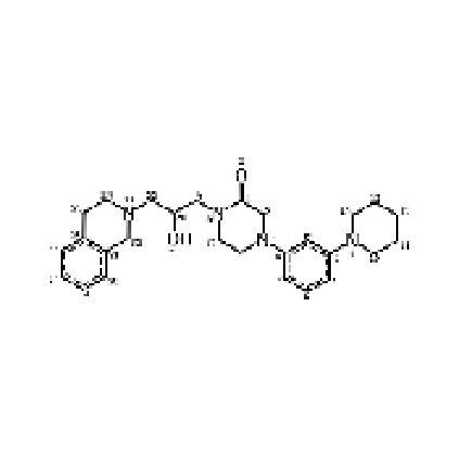 O=C1CN(c2cccc(N3CCCCC3)c2)CCN1CC(O)CN1CCc2ccccc2C1